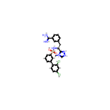 Cn1cnnc1[C@H](Cc1cccc(C(=N)N)c1)NS(=O)(=O)c1cccc(-c2ccc(Cl)cc2Cl)c1